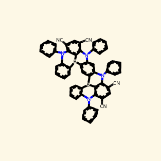 N#Cc1cc(C#N)c2c3c1N(c1ccccc1)c1ccccc1B3c1cc3c(cc1N2c1ccccc1)N(c1ccccc1)c1c(C#N)cc(C#N)c2c1B3c1ccccc1N2c1ccccc1